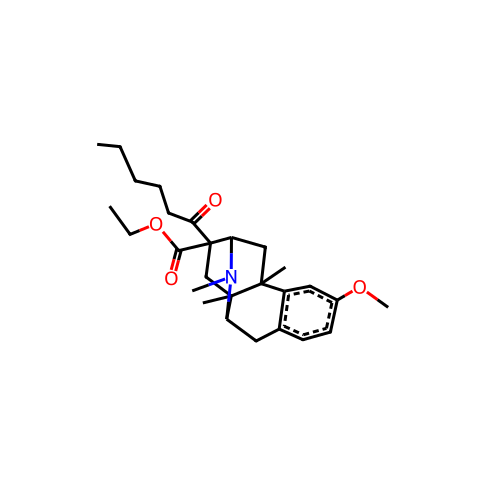 CCCCCC(=O)C1(C(=O)OCC)CC2(C)C3Cc4ccc(OC)cc4C2(C)CC1N3C